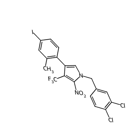 Cc1cc(I)ccc1-c1cn(Cc2ccc(Cl)c(Cl)c2)c([N+](=O)[O-])c1C(F)(F)F